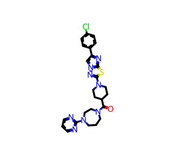 O=C(C1CCN(c2nn3cc(-c4ccc(Cl)cc4)nc3s2)CC1)N1CCCN(c2ncccn2)CC1